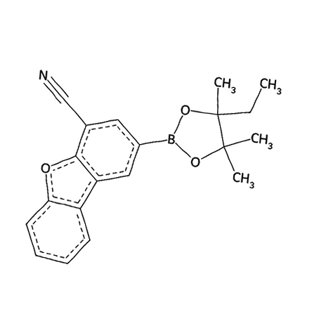 CCC1(C)OB(c2cc(C#N)c3oc4ccccc4c3c2)OC1(C)C